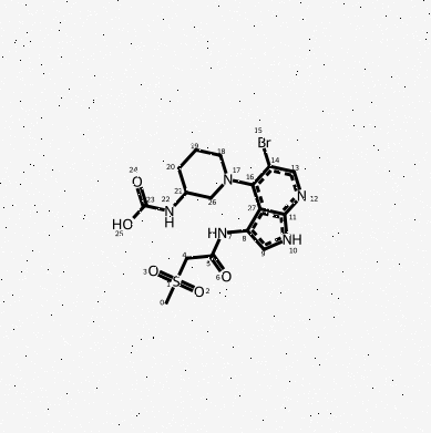 CS(=O)(=O)CC(=O)Nc1c[nH]c2ncc(Br)c(N3CCCC(NC(=O)O)C3)c12